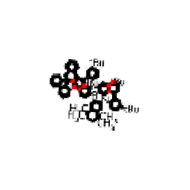 CC(C)(C)c1ccc(N2c3cc(N4c5ccccc5C5(c6ccccc6)Cc6ccccc6CC45C)ccc3B3c4cc5c(cc4N(c4ccc(C(C)(C)C)cc4-c4ccccc4)c4cc(C(C)(C)C)cc2c43)C(C)(C)CCC5(C)C)c(-c2ccccc2)c1